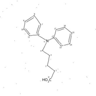 O=C(O)CCCCN(c1ccccc1)c1ccccc1